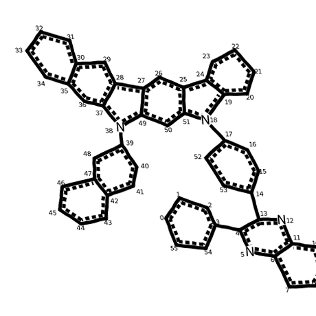 c1ccc(-c2nc3ccccc3nc2-c2ccc(-n3c4ccccc4c4cc5c6cc7ccccc7cc6n(-c6ccc7ccccc7c6)c5cc43)cc2)cc1